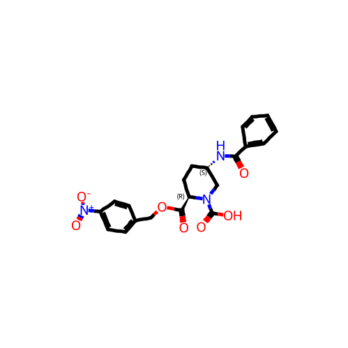 O=C(N[C@H]1CC[C@H](C(=O)OCc2ccc([N+](=O)[O-])cc2)N(C(=O)O)C1)c1ccccc1